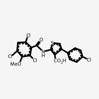 COc1c(Cl)cc(Cl)c(C(=O)Nc2scc(-c3ccc(Cl)cc3)c2C(=O)O)c1Cl